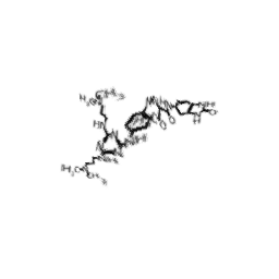 CC(=O)C(/N=N\c1ccc(Nc2nc(NCCCN(C)C)nc(NCCCN(C)C)n2)cc1)C(=O)Nc1ccc2[nH]c(=O)[nH]c2c1